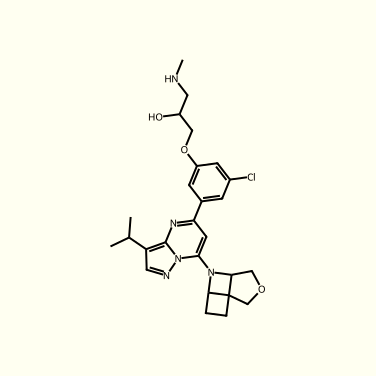 CNCC(O)COc1cc(Cl)cc(-c2cc(N3C4CCC45COCC35)n3ncc(C(C)C)c3n2)c1